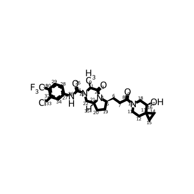 C[C@H]1C(=O)N2[C@@H](CCC(=O)N3CCC4(CC4)[C@H](O)C3)CC[C@H]2CN1C(=O)Nc1ccc(C(F)(F)F)c(Cl)c1